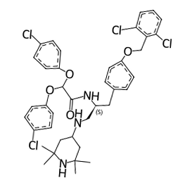 CC1(C)CC(NC[C@H](Cc2ccc(OCc3c(Cl)cccc3Cl)cc2)NC(=O)C(Oc2ccc(Cl)cc2)Oc2ccc(Cl)cc2)CC(C)(C)N1